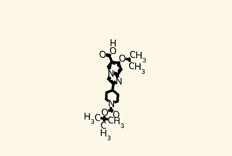 CC(C)Oc1cc2nc(C3CCN(C(=O)OC(C)(C)C)CC3)cn2cc1C(=O)O